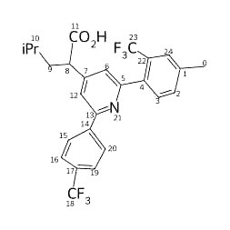 Cc1ccc(-c2cc(C(CC(C)C)C(=O)O)cc(-c3ccc(C(F)(F)F)cc3)n2)c(C(F)(F)F)c1